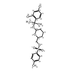 Cc1ccc(S(=O)(=O)OCC2CCCC(OC(C)(C)c3ccc(Cl)cc3Cl)O2)cc1